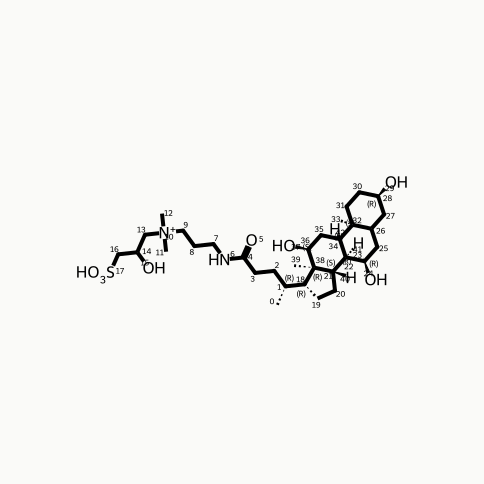 C[C@H](CCC(=O)NCCC[N+](C)(C)CC(O)CS(=O)(=O)O)[C@H]1CC[C@H]2[C@@H]3[C@H](O)CC4C[C@H](O)CC[C@]4(C)[C@H]3C[C@H](O)[C@]12C